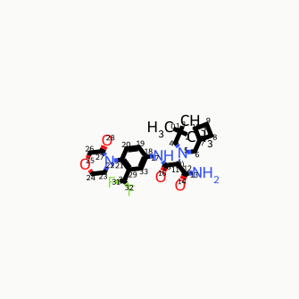 CC(C)(C)CN(CC1CCC1)[C@H](C(N)=O)C(=O)Nc1ccc(N2CCOCC2=O)c(C(F)F)c1